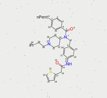 CCCCCc1ccc(C(=O)N(Cc2ccc(NC(=O)Cc3cccs3)cc2)C2CCN(CCC(C)C)CC2)cc1